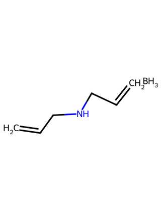 B.C=CCNCC=C